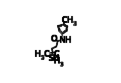 Cc1ccc(NC(=O)CCC(C)(C)S)cc1